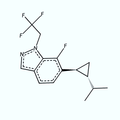 CC(C)[C@H]1C[C@@H]1c1ccc2cnn(CC(F)(F)F)c2c1F